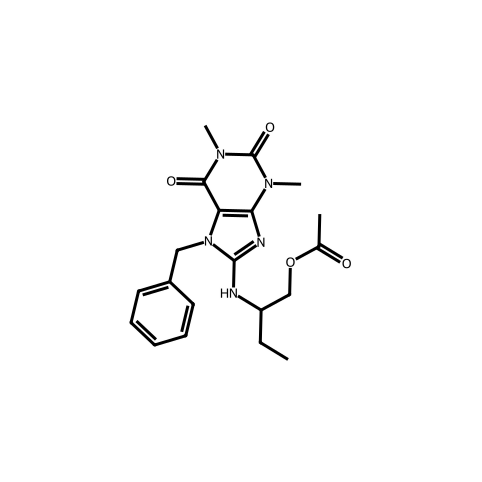 CCC(COC(C)=O)Nc1nc2c(c(=O)n(C)c(=O)n2C)n1Cc1ccccc1